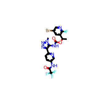 CC(OC(=O)Nc1c(-c2ccc(NC(=O)C(F)(F)F)cn2)nnn1C)c1cc(Br)cnc1F